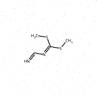 CSC(=NC=N)SC